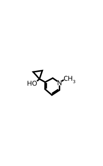 CN1C=CC=C(C2(O)CC2)C1